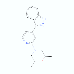 CC1CN(c2cc(-c3n[nH]c4ccccc34)ccn2)CC(C)O1